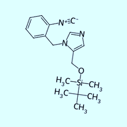 [C-]#[N+]c1ccccc1Cn1cncc1CO[Si](C)(C)C(C)(C)C